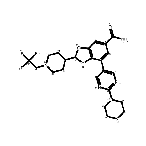 NC(=O)c1cc2c(c(-c3cnc(N4CCSCC4)nc3)c1)OC(C1CCN(CC(F)(F)F)CC1)O2